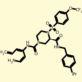 C=C/C=C(\C=C/N)NC(=O)N1CCN(S(=O)(=O)c2ccc(OC(F)(F)F)cc2)[C@@H](C(=O)NCc2ccc(C(C)C)cc2)C1